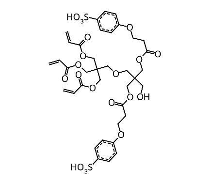 C=CC(=O)OCC(COCC(CO)(COC(=O)CCOc1ccc(S(=O)(=O)O)cc1)COC(=O)CCOc1ccc(S(=O)(=O)O)cc1)(COC(=O)C=C)COC(=O)C=C